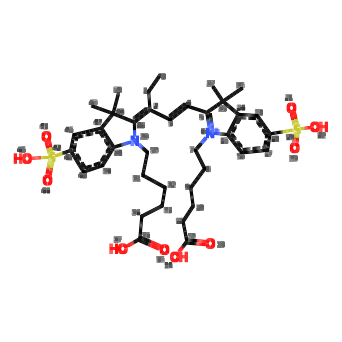 CCC(/C=C/C1=[N+](CCCCCC(=O)O)c2ccc(S(=O)(=O)O)cc2C1(C)C)=C1/N(CCCCCC(=O)O)c2ccc(S(=O)(=O)O)cc2C1(C)C